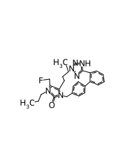 CCCCc1c(CF)n(CCC)c(=O)n1Cc1ccc(-c2ccccc2-c2nnn[nH]2)cc1